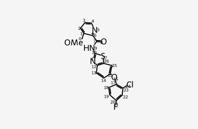 COc1cccnc1C(=O)Nc1nc2ccc(Oc3ccc(F)cc3Cl)cc2s1